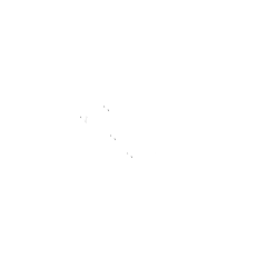 [C]1=C2CCCC2=NN2CNN=C12